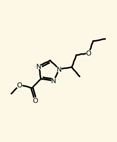 CCOCC(C)n1cnc(C(=O)OC)n1